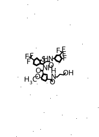 COc1ccc(C(=O)NCCCO)cc1C(=O)Nc1c(C(=O)Nc2ccc(F)c(C(F)(F)F)c2)sc2cc(C(F)(F)F)ccc12